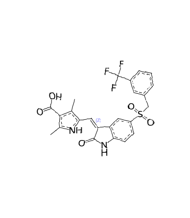 Cc1[nH]c(/C=C2\C(=O)Nc3ccc(S(=O)(=O)Cc4cccc(C(F)(F)F)c4)cc32)c(C)c1C(=O)O